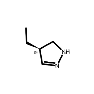 CC[C@@H]1C=NNC1